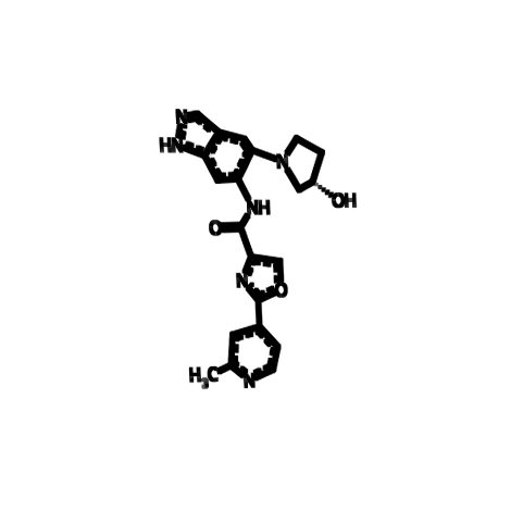 Cc1cc(-c2nc(C(=O)Nc3cc4[nH]ncc4cc3N3CC[C@H](O)C3)co2)ccn1